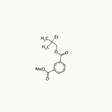 CCC(C)(C)COC(=O)c1cccc(C(=O)OC)c1